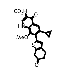 COc1c(-c2cc3c(s2)CC(=O)CC3)c(C2CC2)cc2c(=O)c(C(=O)O)c[nH]c12